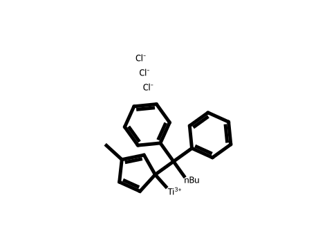 CCCCC(c1ccccc1)(c1ccccc1)[C]1([Ti+3])C=CC(C)=C1.[Cl-].[Cl-].[Cl-]